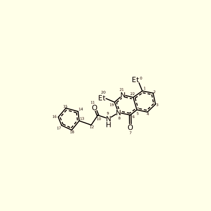 CCc1cccc2c(=O)n(NC(=O)Cc3ccccc3)c(CC)nc12